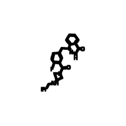 CC(C)CNC1CN(C(=O)c2cc(Cc3n[nH]c(=O)c4ccccc34)ccc2F)C1